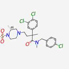 C[C@@H]1CN(CCC(C)(C(=O)N(C)Cc2ccc(Cl)cc2)c2ccc(Cl)c(Cl)c2)CCN1S(C)(=O)=O